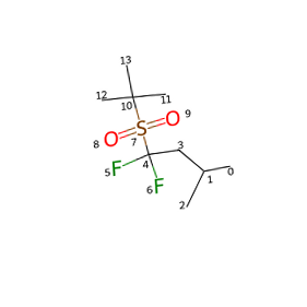 CC(C)CC(F)(F)S(=O)(=O)C(C)(C)C